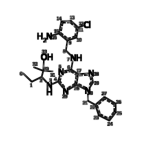 CCC(Nc1nc(NCc2cc(Cl)ccc2N)c2ncn(Cc3ccccc3)c2n1)C(C)(C)O